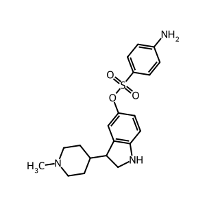 CN1CCC(C2CNc3ccc(OS(=O)(=O)c4ccc(N)cc4)cc32)CC1